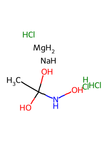 CC(O)(O)NO.Cl.Cl.Cl.[MgH2].[NaH]